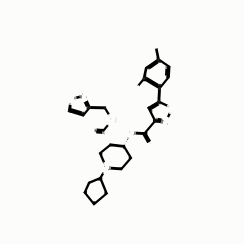 C[C@H](NC(=O)[C@H]1CN(C2CCCC2)CC[C@@H]1NC(=O)c1cc(-c2ccc(F)cc2F)on1)c1ccon1